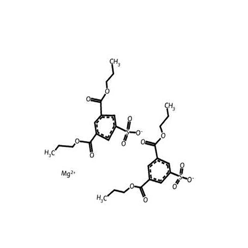 CCCOC(=O)c1cc(C(=O)OCCC)cc(S(=O)(=O)[O-])c1.CCCOC(=O)c1cc(C(=O)OCCC)cc(S(=O)(=O)[O-])c1.[Mg+2]